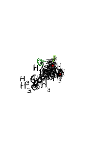 CC1=CC(C)(C)c2cc3c(cc21)-c1cc2c(cc1C3)C(C)(C)[C]([Zr+2](=[CH]c1ccc(F)cc1)[C]1=C(C)C(CC34CC5CC(CC(C5)C3)C4)=CC1C)=C2C.[Cl-].[Cl-]